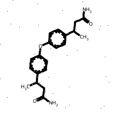 CC(CC(N)=O)c1ccc(Oc2ccc(C(C)CC(N)=O)cc2)cc1